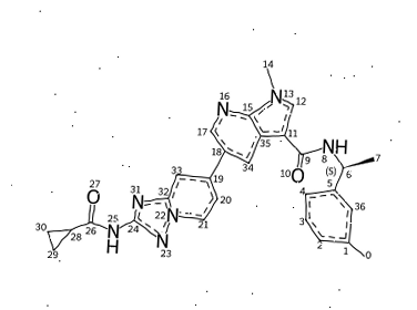 Cc1cccc([C@H](C)NC(=O)c2cn(C)c3ncc(-c4ccn5nc(NC(=O)C6CC6)nc5c4)cc23)c1